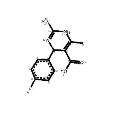 CC1=C(C(=O)O)C(c2ccc(F)cc2)N=C(N)N1